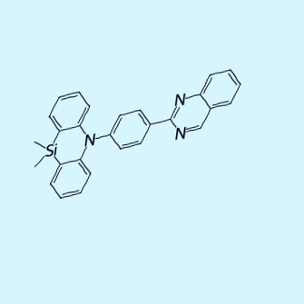 C[Si]1(C)c2ccccc2N(c2ccc(-c3ncc4ccccc4n3)cc2)c2ccccc21